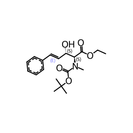 CCOC(=O)[C@H]([C@@H](O)/C=C/c1ccccc1)N(C)C(=O)OC(C)(C)C